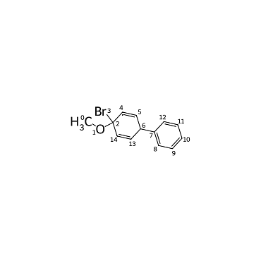 COC1(Br)[C]=CC(c2ccccc2)C=C1